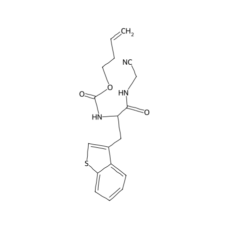 C=CCCOC(=O)NC(Cc1csc2ccccc12)C(=O)NCC#N